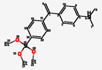 C=C(c1ccc([SiH](C)C)cc1)c1ccc([Si](OCC)(OCC)OCC)cc1